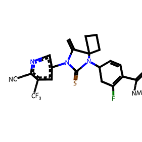 C=C(NC)C1=C(F)CC(N2C(=S)N(c3cnc(C#N)c(C(F)(F)F)c3)C(=C)C23CCC3)C=C1